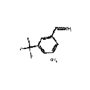 C.C=Cc1cccc(C(F)(F)F)c1